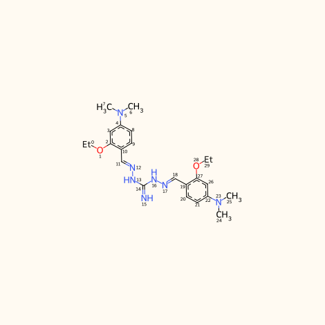 CCOc1cc(N(C)C)ccc1C=NNC(=N)NN=Cc1ccc(N(C)C)cc1OCC